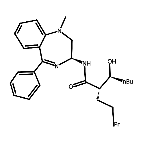 CCCC[C@H](O)[C@H](CCC(C)C)C(=O)N[C@@H]1CN(C)c2ccccc2C(c2ccccc2)=N1